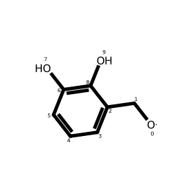 [O]Cc1cccc(O)c1O